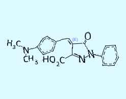 CN(C)c1ccc(/C=C2/C(=O)N(c3ccccc3)N=C2C(=O)O)cc1